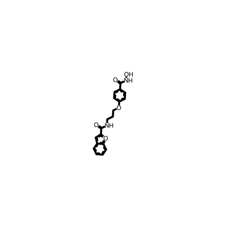 O=C(NO)c1ccc(OCCCNC(=O)c2cc3ccccc3o2)cc1